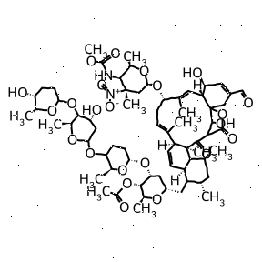 COC(=O)N[C@H]1[C@@H](C)O[C@@H](O[C@H]2C/C=C(\C)[C@@H]3C=C[C@@H]4C(C[C@H]5C[C@@H](O[C@H]6CCC(OC7C[C@@H](O)C(OC8CC[C@@H](O)[C@H](C)O8)[C@H](C)O7)[C@H](C)O6)[C@@H](OC(C)=O)[C@H](C)O5)[C@@H](C)C[C@H](C)C4[C@]3(C)C(=O)C3C(=O)OC4(CC(C=O)=C[C@H](O)[C@H]4/C=C/2C)C3O)C[C@]1(C)[N+](=O)[O-]